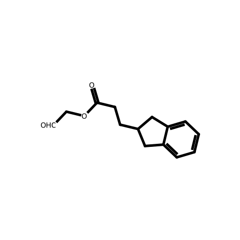 O=CCOC(=O)CCC1Cc2ccccc2C1